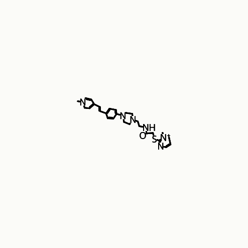 CN1C=CC(/C=C/c2ccc(N3CCN(CCNC(=O)CSc4nccc[n+]4C)CC3)cc2)=CC1